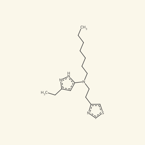 CCCCCCCN(CCc1cs[c]n1)c1cc(CC)n[nH]1